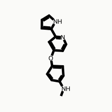 CNc1ccc(Oc2ccnc(-c3ccc[nH]3)c2)cc1